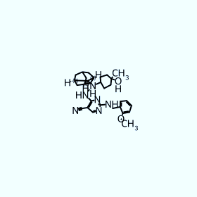 COc1ccccc1CNc1ncc(C#N)c(NC[C@@]23CC4C[C@H](C2)[C@@H](NC2CCC(C)(O)CC2)[C@@H](C4)C3)n1